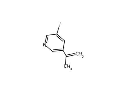 C=C(C)c1cncc(I)c1